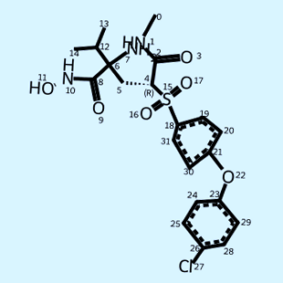 CNC(=O)[C@@H](CC(N)(C(=O)NO)C(C)C)S(=O)(=O)c1ccc(Oc2ccc(Cl)cc2)cc1